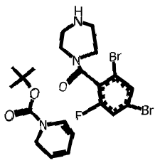 CC(C)(C)OC(=O)N1C=CC=CC1.O=C(c1c(F)cc(Br)cc1Br)N1CCNCC1